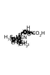 CC1CN(c2nc(SCCc3ccc(NC(=O)CCC(=O)O)cc3)c(C#N)c3c2COC(C)(C)C3)CC(C)O1